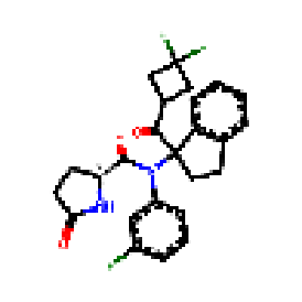 O=C1CC[C@@H](C(=O)N(c2cccc(F)c2)C2(C(=O)C3CC(F)(F)C3)CCc3ccccc32)N1